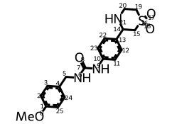 COc1ccc(CNC(=O)Nc2ccc(C3CS(=O)(=O)CCN3)cc2)cc1